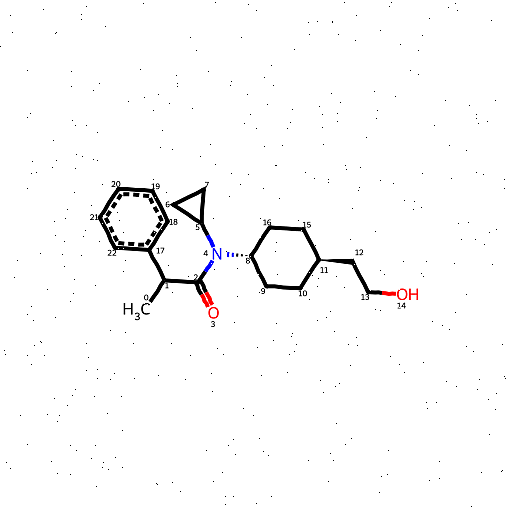 CC(C(=O)N(C1CC1)[C@H]1CC[C@H](CCO)CC1)c1ccccc1